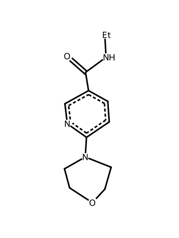 CCNC(=O)c1ccc(N2CCOCC2)nc1